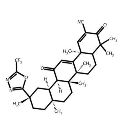 CC1(C)C(=O)C(C#N)=C[C@]2(C)C3=CC(=O)[C@@H]4[C@@H]5C[C@@](C)(c6nnc(C(F)(F)F)o6)CC[C@]5(C)CC[C@@]4(C)[C@]3(C)CCC12